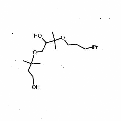 CC(C)CCCOC(C)(C)C(O)COC(C)(C)CCO